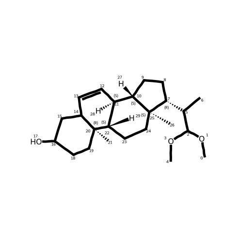 COC(OC)C(C)[C@H]1CC[C@H]2[C@@H]3C=CC4CC(O)CC[C@]4(C)[C@H]3CC[C@]12C